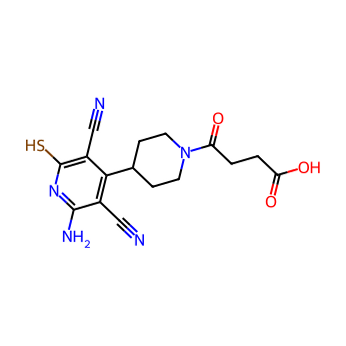 N#Cc1c(N)nc(S)c(C#N)c1C1CCN(C(=O)CCC(=O)O)CC1